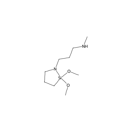 CNCCCN1CCC[Si]1(OC)OC